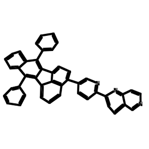 c1ccc(-c2c3c(c(-c4ccccc4)c4ccccc24)-c2ccc(-c4ccc(-c5ccc6cnccc6n5)nc4)c4cccc-3c24)cc1